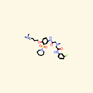 CN(C)CCCCOc1ccc(NC(=O)CN(C)CC(=O)Nc2cccc(F)c2)cc1S(=O)(=O)N1CCCCCC1